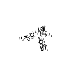 COC(=O)c1ccc(CCC[N+]2(CCCc3ccc(C(=O)OC)cc3)CCCC(N)C2)cc1.Cl.[Cl-]